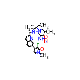 C=C/C(=C(\C)NCc1ccc2ccc(-c3ccn(C)c(=O)c3F)cc2n1)N1C[C@@H](N)[C@H](O)[C@@H](C)C1